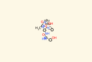 CCCCN(CCCC)C(=O)c1cc(C)n(-c2ccc(NC(=O)c3cc(-c4cccc(O)c4)[nH]n3)cc2C(=O)N2Cc3ccccc3C[C@H]2CO)n1